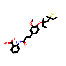 CCC(C)(S)CC(C)(CC)Oc1ccc(/C=C/C(=O)Nc2ccccc2C(=O)O)cc1OC